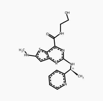 CNc1cc2nc(N[C@@H](C)c3ccccn3)nc(C(=O)NCCO)c2s1